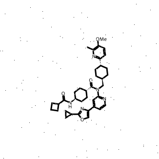 COc1ccc([C@H]2CC[C@H](CN(c3cc(-c4coc(C5CC5)n4)ccn3)C(=O)[C@H]3CC[C@H](NC(=O)C4CCC4)CC3)CC2)nc1C